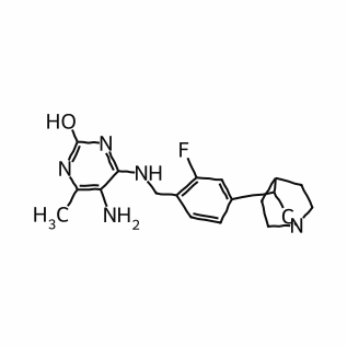 Cc1nc(O)nc(NCc2ccc(C3CN4CCC3CC4)cc2F)c1N